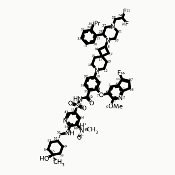 COc1nc2c(cc1Oc1cc(N3CCC4(CC3)CC(N3CCN(CC(F)F)CC3c3ccccc3C(C)C)C4)ccc1C(=O)NS(=O)(=O)c1cnc(NC[C@H]3CC[C@](C)(O)CC3)c([NH+](C)[O-])c1)C(F)=CC2